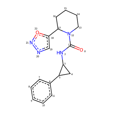 O=C(NC1CC1c1ccccc1)N1CCCCC1c1cnno1